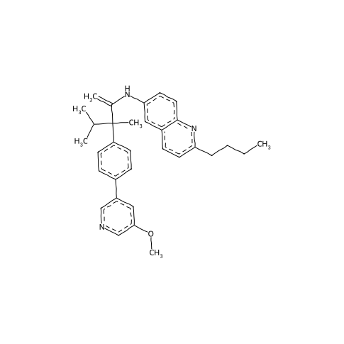 C=C(Nc1ccc2nc(CCCC)ccc2c1)C(C)(c1ccc(-c2cncc(OC)c2)cc1)C(C)C